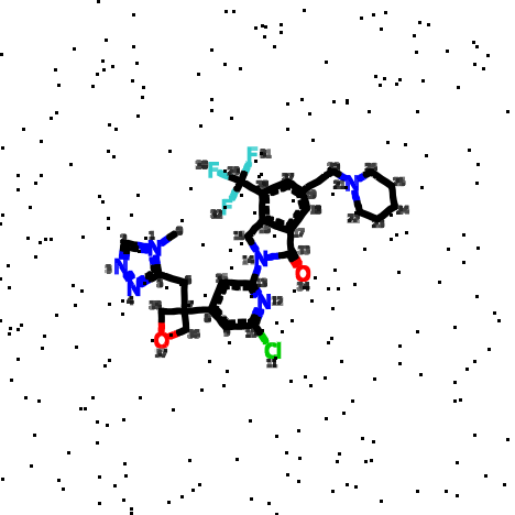 Cn1cnnc1CC1(c2cc(Cl)nc(N3Cc4c(cc(CN5CCCCC5)cc4C(F)(F)F)C3=O)c2)COC1